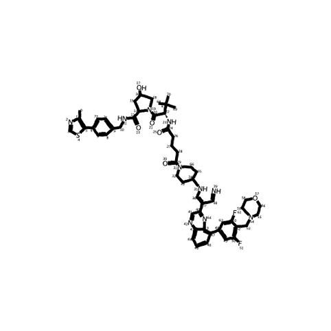 Cc1ncsc1-c1ccc(CNC(=O)C2CC(O)CN2C(=O)[C@@H](NC(=O)CCCC(=O)N2CCC(N/C=C(\C=N)c3cnc4cccc(-c5cc(F)c(CN6CCOCC6)c(F)c5)c4n3)CC2)C(C)(C)C)cc1